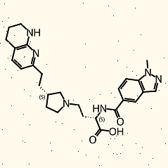 Cn1ncc2cc(C(=O)N[C@@H](CCN3CC[C@H](CCc4ccc5c(n4)NCCC5)C3)C(=O)O)ccc21